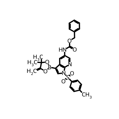 C=C1OB(c2cn(S(=O)(=O)c3ccc(C)cc3)c3ncc(NC(=O)OCc4ccccc4)cc23)OC1(C)C